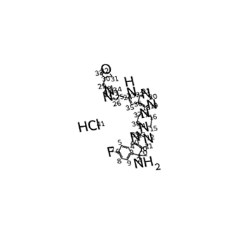 CC(N)(c1ccc(F)cc1)c1cnc(N2CCN(c3ncnc4[nH]c(-c5cnn(CC6COC6)c5)cc34)CC2)nc1.Cl